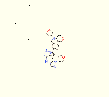 Nc1ncnn2c(-c3cccc(CN(C4CCOCC4)C4CCOCC4)c3)cc(-c3ccnn3C3CCOCC3)c12